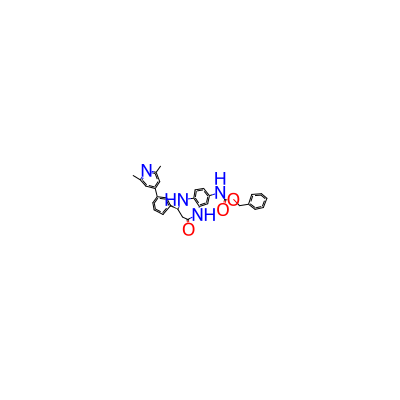 Cc1cc(-c2cccc([C@@H]3CC(=O)Nc4cc(NC(=O)OCc5ccccc5)ccc4N3)c2)cc(C)n1